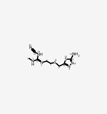 CNC(=NCCSCc1nnc(N)s1)NC#N